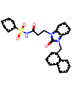 O=C(CCn1c(=O)n(Cc2cccc3ccccc23)c2ccccc21)NS(=O)(=O)c1ccccc1